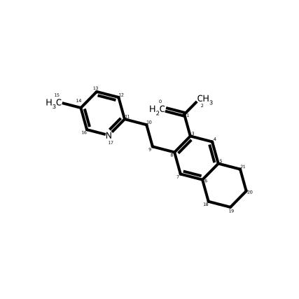 C=C(C)c1cc2c(cc1CCc1ccc(C)cn1)CCCC2